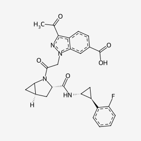 CC(=O)c1nn(CC(=O)N2C3C[C@@H]3C[C@H]2C(=O)N[C@@H]2C[C@H]2c2ccccc2F)c2cc(C(=O)O)ccc12